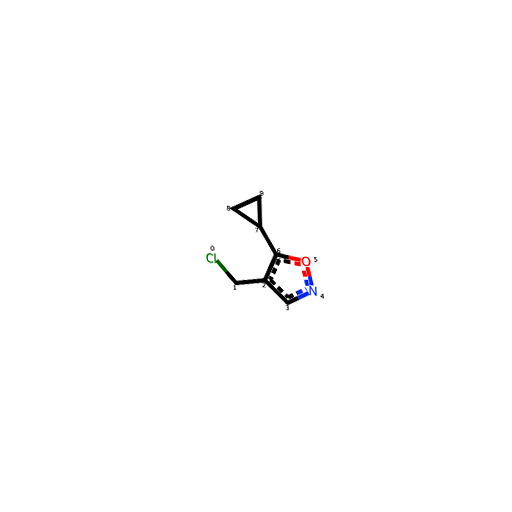 ClCc1cnoc1C1CC1